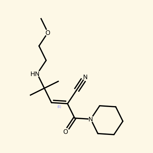 COCCNC(C)(C)/C=C(\C#N)C(=O)N1CCCCC1